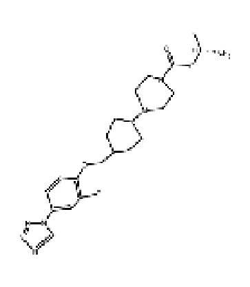 C[C@@H](OC(=O)N1CCN(C2CCC(COc3ccc(-n4cnnn4)cc3F)CC2)CC1)C(F)(F)F